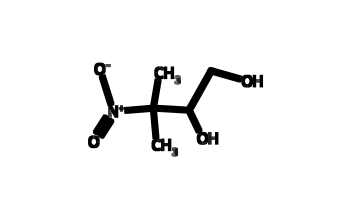 CC(C)(C(O)CO)[N+](=O)[O-]